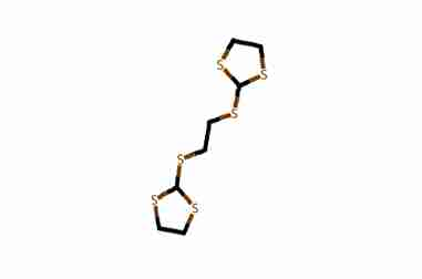 C1CSC(SCCSC2SCCS2)S1